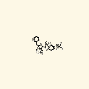 CCn1c(=O)/c(=C2\Sc3ccc(OC(F)(F)F)cc3N2C)s/c1=C\c1ccccn1